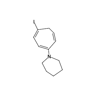 IC1=CC=C(N2CCCCC2)C=CC1